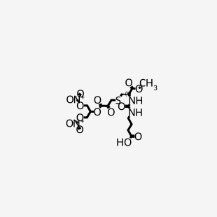 COC(=O)[C@H](CSCC(=O)C(=O)OC(CO[N+](=O)[O-])CO[N+](=O)[O-])NC(=O)NCCCC(=O)O